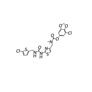 CN(Cc1csc(NC(=O)NCc2ccc(Cl)s2)n1)C(=O)Oc1cc(Cl)c2c(c1)OCO2